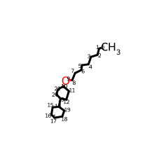 CCCCCCCCCOC1CCC(C2CC[CH]CC2)CC1